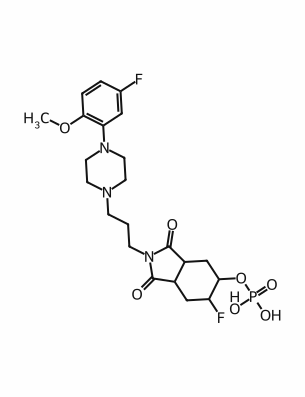 COc1ccc(F)cc1N1CCN(CCCN2C(=O)C3CC(F)C(OP(=O)(O)O)CC3C2=O)CC1